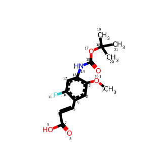 COc1cc(/C=C/C(=O)O)c(F)cc1NC(=O)OC(C)(C)C